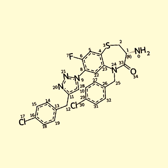 N[C@H]1CSc2cc(F)c(-n3cc(Cc4ccc(Cl)cc4)nn3)cc2N(Cc2ccc(Cl)cc2)C1=O